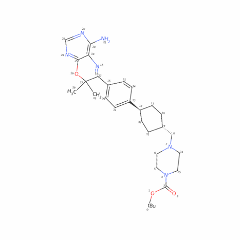 CC(C)(C)OC(=O)N1CCN(C[C@H]2CC[C@H](c3ccc(C4=Nc5c(N)ncnc5OC4(C)C)cc3)CC2)CC1